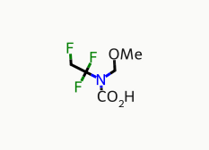 COCN(C(=O)O)C(F)(F)CF